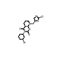 O=c1nc2n(Cc3cnc(Cl)s3)cccc-2c(=O)n1-c1cccc(Br)c1